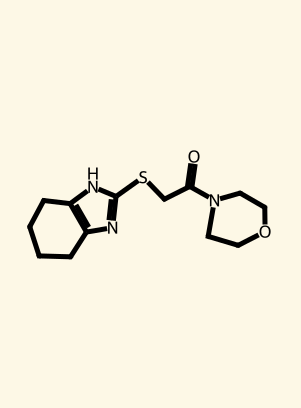 O=C(CSc1nc2c([nH]1)CCCC2)N1CCOCC1